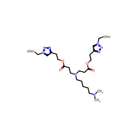 CCCCCCCCCCCn1cc(CCOC(=O)CCN(CCCCCN(C)C)CCC(=O)OCCc2cn(CCCCCCCCCCC)nn2)nn1